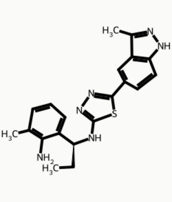 CC[C@H](Nc1nnc(-c2ccc3[nH]nc(C)c3c2)s1)c1cccc(C)c1N